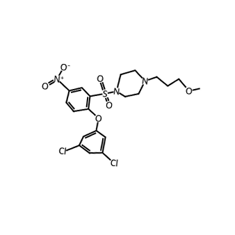 COCCCN1CCN(S(=O)(=O)c2cc([N+](=O)[O-])ccc2Oc2cc(Cl)cc(Cl)c2)CC1